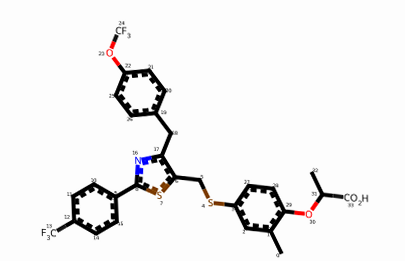 Cc1cc(SCc2sc(-c3ccc(C(F)(F)F)cc3)nc2Cc2ccc(OC(F)(F)F)cc2)ccc1OC(C)C(=O)O